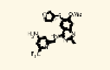 COc1cc2nc(C)nc(NCc3cc(N)cc(C(F)(F)F)n3)c2cc1S[C@H]1CCOC1